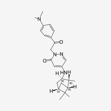 C[C@@H]1[C@H]2C[C@@H](C[C@H]1Nc1cnn(CC(=O)c3ccc(N(C)C)cc3)c(=O)c1)C2(C)C